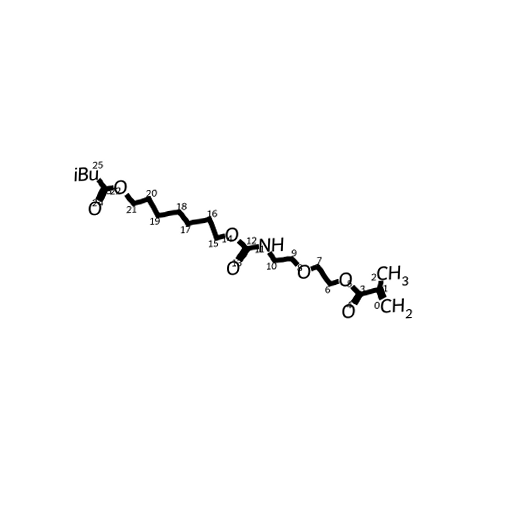 C=C(C)C(=O)OCCOCCNC(=O)OCCCCCCCOC(=O)C(C)CC